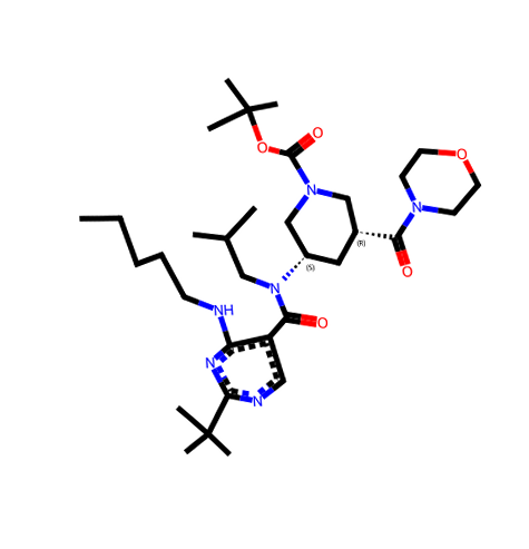 CCCCCNc1nc(C(C)(C)C)ncc1C(=O)N(CC(C)C)[C@H]1C[C@@H](C(=O)N2CCOCC2)CN(C(=O)OC(C)(C)C)C1